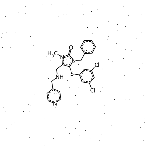 Cn1c(CNCc2ccncc2)c(Sc2cc(Cl)cc(Cl)c2)n(Cc2ccccc2)c1=O